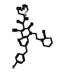 CC(C)(C)C[C@@H](CC(=O)O)NC(=O)c1c(O)c2ncc(Cc3ccc(F)cc3)cc2n(CCN2CCCCC2=O)c1=O